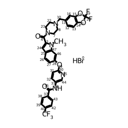 Br.Cn1c(C(=O)N2CCN(Cc3ccc4c(c3)OC(F)(F)O4)CC2)cc2ccc(Oc3ccc(NC(=O)c4ccc(C(F)(F)F)cc4)cn3)cc21